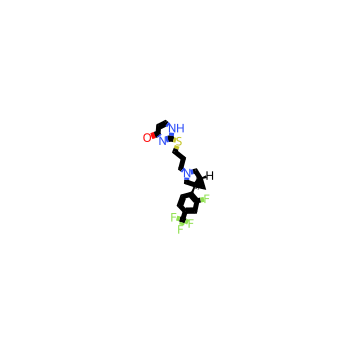 O=c1cc[nH]c(SCCCN2C[C@@H]3C[C@]3(c3ccc(C(F)(F)F)cc3F)C2)n1